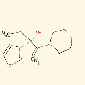 C=C(C1CCCCC1)C(O)(CC)c1ccsc1